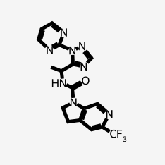 CC(NC(=O)N1CCc2cc(C(F)(F)F)ncc21)c1ncnn1-c1ncccn1